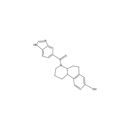 O=C(c1ccc2[nH]cnc2c1)N1CCCC2c3ccc(O)cc3CCC21